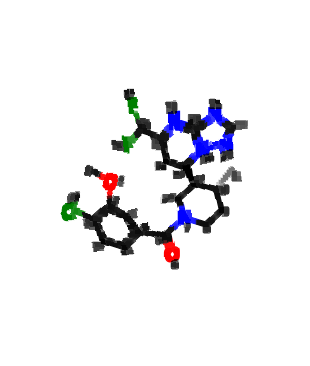 COc1cc(C(=O)N2CC[C@@H](C)[C@H](c3cc(C(F)F)nc4ncnn34)C2)ccc1Cl